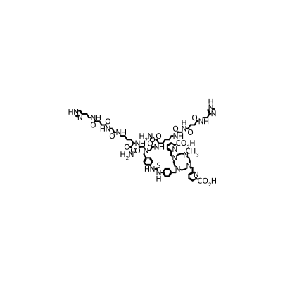 CN1CCN(Cc2cccc(C(=O)O)n2)CCN(Cc2ccc(NC(=S)Nc3ccc(CN(CC(=O)NC(CCCCNC(=O)CNC(=O)CCC(=O)NCCc4c[nH]cn4)C(=O)ON)CC(=O)NC(CCCCNC(=O)CNC(=O)CCC(=O)NCCc4c[nH]cn4)C(=O)ON)cc3)cc2)CCN(Cc2cccc(C(=O)O)n2)CC1